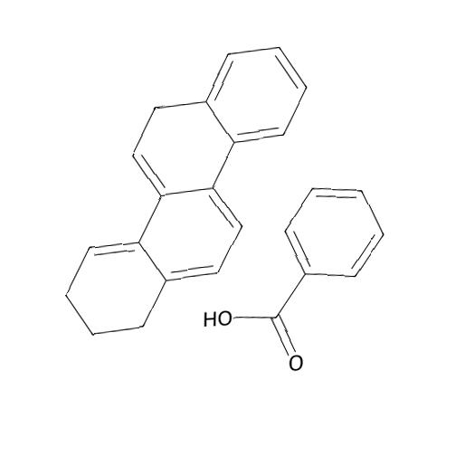 C1=c2c(ccc3c2=CCc2ccccc2-3)CCC1.O=C(O)c1ccccc1